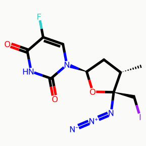 C[C@H]1C[C@H](n2cc(F)c(=O)[nH]c2=O)O[C@@]1(CI)N=[N+]=[N-]